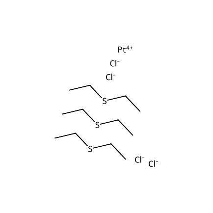 CCSCC.CCSCC.CCSCC.[Cl-].[Cl-].[Cl-].[Cl-].[Pt+4]